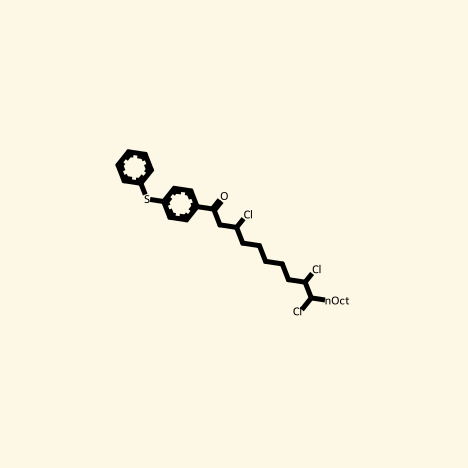 CCCCCCCCC(Cl)C(Cl)CCCCCC(Cl)CC(=O)c1ccc(Sc2ccccc2)cc1